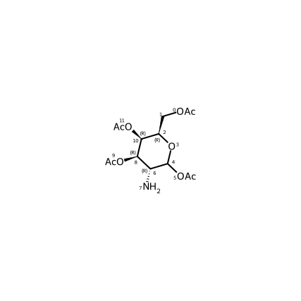 CC(=O)OC[C@H]1OC(OC(C)=O)[C@H](N)[C@@H](OC(C)=O)[C@H]1OC(C)=O